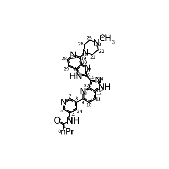 CCCC(=O)Nc1cncc(-c2ccc3[nH]nc(-c4nc5c(N6CCN(C)CC6)nccc5[nH]4)c3n2)c1